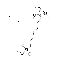 CO[Si](CCC[CH]CCC[Si](OC)(OC)OC)(OC)OC